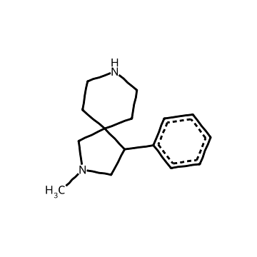 CN1CC(c2ccccc2)C2(CCNCC2)C1